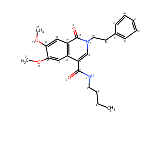 CCCCNC(=O)c1cn(CCc2ccccc2)c(=O)c2cc(OC)c(OC)cc12